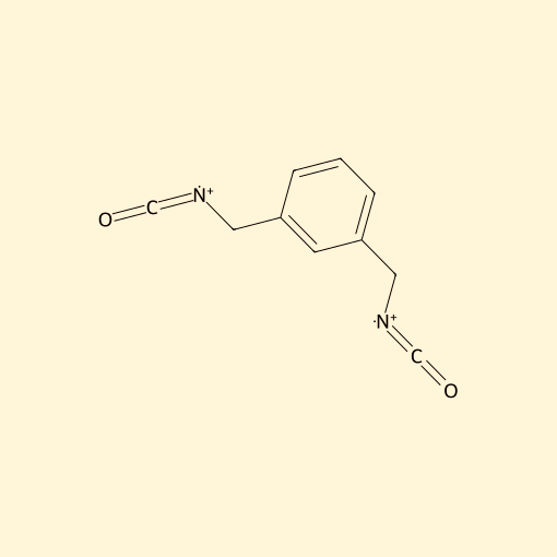 O=C=[N+]Cc1cccc(C[N+]=C=O)c1